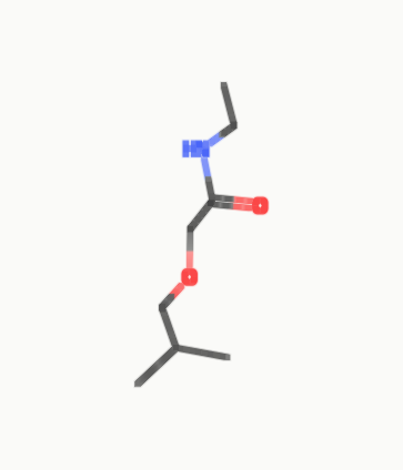 CCNC(=O)COCC(C)C